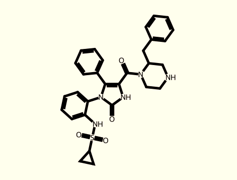 O=C(c1[nH]c(=O)n(-c2ccccc2NS(=O)(=O)C2CC2)c1-c1ccccc1)N1CCNCC1Cc1ccccc1